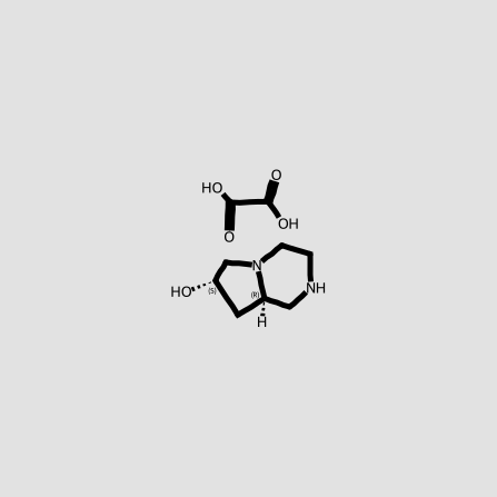 O=C(O)C(=O)O.O[C@H]1C[C@@H]2CNCCN2C1